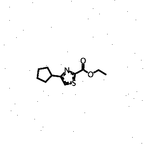 CCOC(=O)c1nc(C2CCCC2)cs1